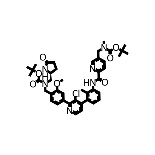 COc1cc(-c2nccc(-c3cccc(NC(=O)c4ccc(CN(C)C(=O)OC(C)(C)C)cn4)c3C)c2Cl)ccc1CN(C[C@@H]1CCC(=O)N1)C(=O)OC(C)(C)C